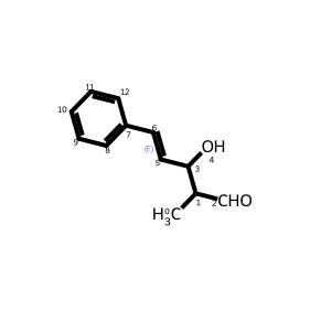 CC(C=O)C(O)/C=C/c1ccccc1